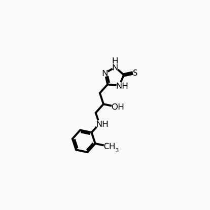 Cc1ccccc1NCC(O)Cc1n[nH]c(=S)[nH]1